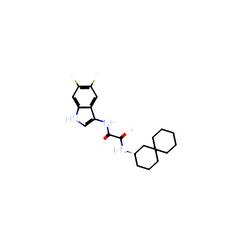 O=C(Nc1c[nH]c2cc(F)c(F)cc12)C(=O)N[C@@H]1CCCC2(CCCCC2)C1